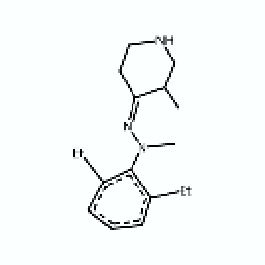 CCc1cccc(CC)c1N(C)/N=C1/CCNCC1C